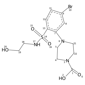 O=C(O)N1CCN(c2cc(Br)ccc2S(=O)(=O)NCCO)CC1